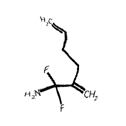 C=CCCC(=C)C(N)(F)F